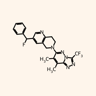 Cc1c(N2CCc3ncc(C(F)c4ccccc4)cc3C2)nn2c(C(F)(F)F)nnc2c1C